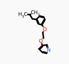 CC(C)Cc1cccc(OCCOc2cccnc2)c1